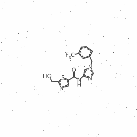 O=C(Nc1cn(Cc2cccc(C(F)(F)F)c2)cn1)c1cnc(CO)s1